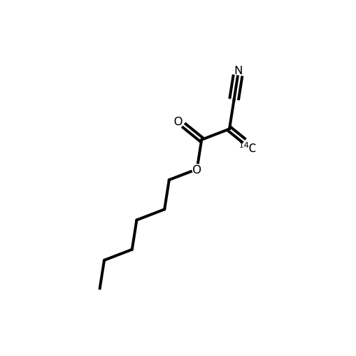 CCCCCCOC(=O)C(=[14CH2])C#N